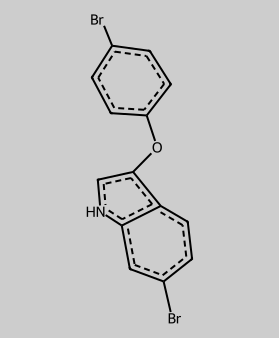 Brc1ccc(Oc2c[nH]c3cc(Br)ccc23)cc1